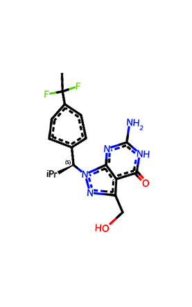 CC(C)[C@@H](c1ccc(C(C)(F)F)cc1)n1nc(CO)c2c(=O)[nH]c(N)nc21